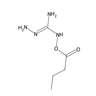 CCCC(=O)ONC(N)=NN